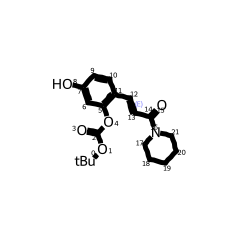 CC(C)(C)OC(=O)Oc1cc(O)ccc1/C=C/C(=O)N1CCCCC1